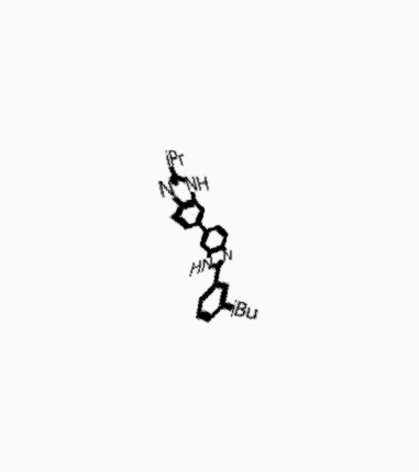 CCC(C)c1cccc(-c2nc3ccc(-c4ccc5nc(C(C)C)[nH]c5c4)cc3[nH]2)c1